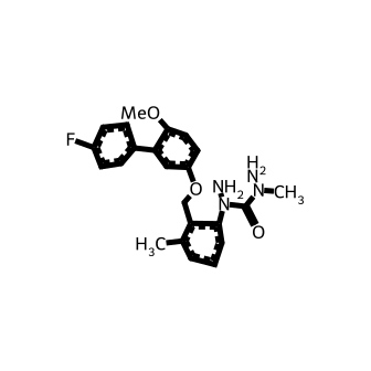 COc1ccc(OCc2c(C)cccc2N(N)C(=O)N(C)N)cc1-c1ccc(F)cc1